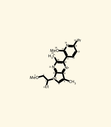 CCC(COC)n1cc(C)c2nc(-c3ccc(C(C)C)nc3OC)c(C)nc21